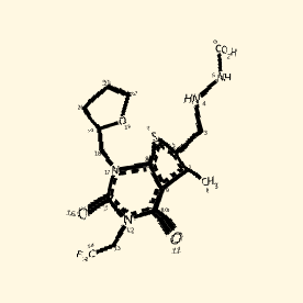 Cc1c(CNNC(=O)O)sc2c1c(=O)n(CC(F)(F)F)c(=O)n2CC1CCCO1